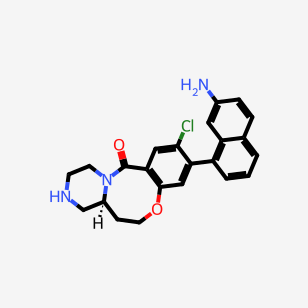 Nc1ccc2cccc(-c3cc4c(cc3Cl)C(=O)N3CCNC[C@@H]3CCO4)c2c1